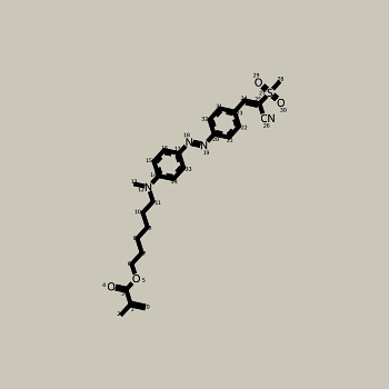 C=C(C)C(=O)OCCCCCCN(C)c1ccc(/N=N/c2ccc(/C=C(\C#N)S(C)(=O)=O)cc2)cc1